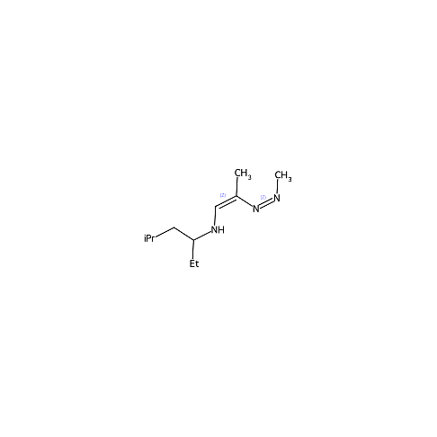 CCC(CC(C)C)N/C=C(C)\N=N/C